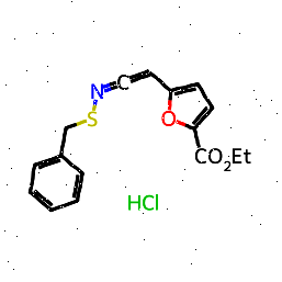 CCOC(=O)c1ccc(C=C=NSCc2ccccc2)o1.Cl